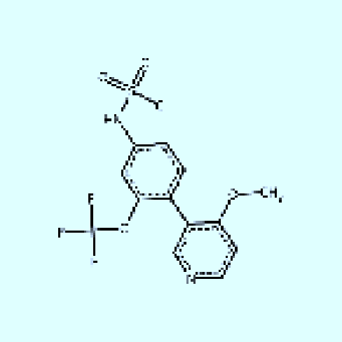 COc1ccncc1-c1ccc(NS(=O)(=O)Cl)cc1OC(F)(F)F